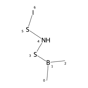 CB(C)SNSI